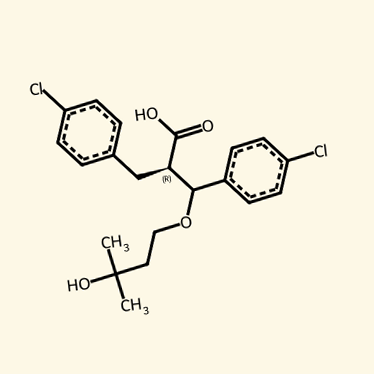 CC(C)(O)CCOC(c1ccc(Cl)cc1)[C@@H](Cc1ccc(Cl)cc1)C(=O)O